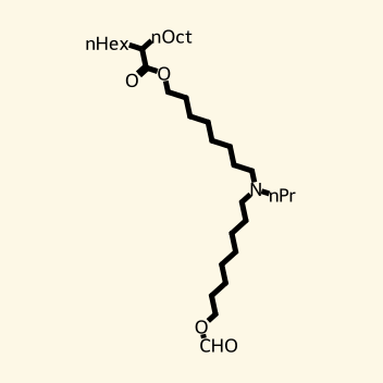 CCCCCCCCC(CCCCCC)C(=O)OCCCCCCCCN(CCC)CCCCCCCCOC=O